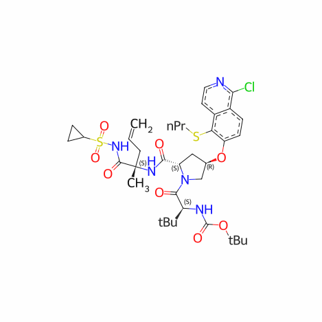 C=CC[C@](C)(NC(=O)[C@@H]1C[C@@H](Oc2ccc3c(Cl)nccc3c2SCCC)CN1C(=O)[C@@H](NC(=O)OC(C)(C)C)C(C)(C)C)C(=O)NS(=O)(=O)C1CC1